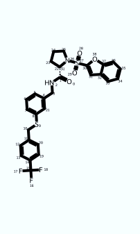 O=C(NCc1cccc(SCc2ccc(C(F)(F)F)cc2)c1)[C@@H]1CCCN1S(=O)(=O)c1cc2ccccc2o1